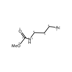 COC(=O)NCCCC(C)=O